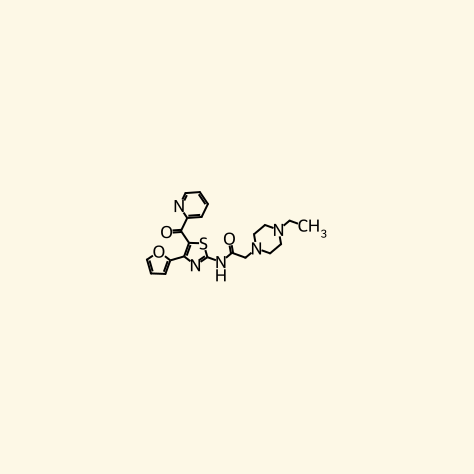 CCN1CCN(CC(=O)Nc2nc(-c3ccco3)c(C(=O)c3ccccn3)s2)CC1